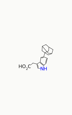 O=C(O)Cc1c[nH]c2ccc(C34CC5CC(CC(C5)C3)C4)cc12